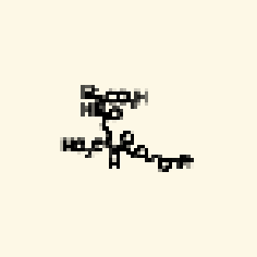 CCCOCCOCC(=O)N[C@@H](CCC(=O)N[C@@H](CC)C(=O)O)C(=O)O